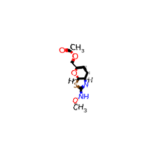 CONC1=N[C@@H]2[C][C][C@H](COC(C)=O)O[C@@H]2S1